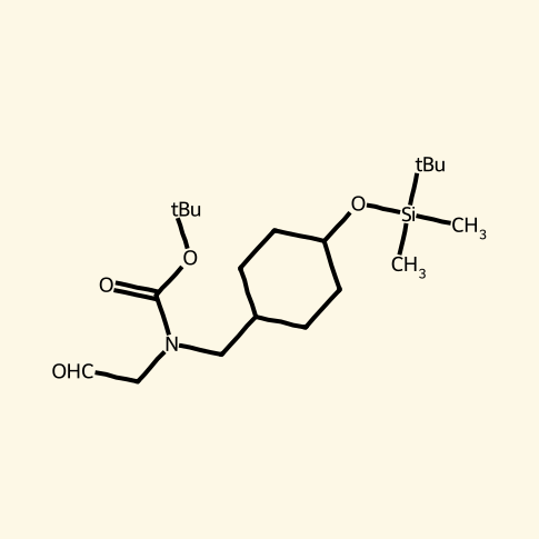 CC(C)(C)OC(=O)N(CC=O)CC1CCC(O[Si](C)(C)C(C)(C)C)CC1